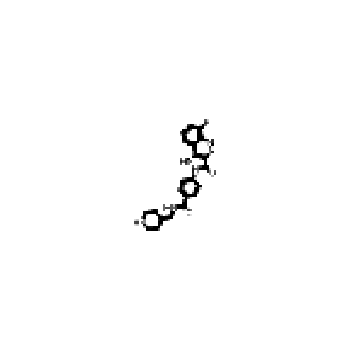 O=C(NCC1CCNCC1)c1ccc(-n2[nH]c3c(nnc4c(F)cccc43)c2=O)cc1